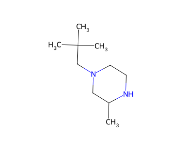 CC1CN(CC(C)(C)C)CCN1